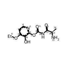 CCOc1ccnc(OC(=O)NC(=O)[C@@H](C)N)c1O